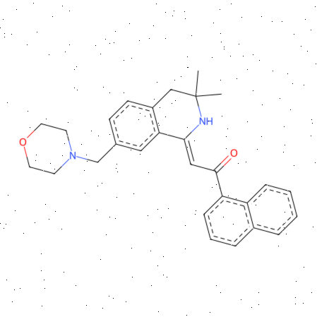 CC1(C)Cc2ccc(CN3CCOCC3)cc2C(=CC(=O)c2cccc3ccccc23)N1